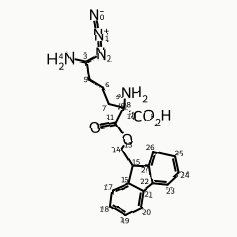 [N-]=[N+]=NC(N)CCC[C@](N)(C(=O)O)C(=O)OCC1c2ccccc2-c2ccccc21